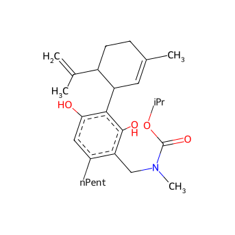 C=C(C)C1CCC(C)=CC1c1c(O)cc(CCCCC)c(CN(C)C(=O)OC(C)C)c1O